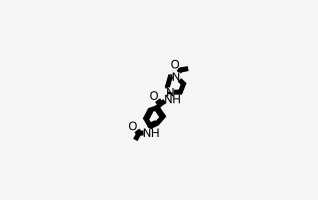 CC(=O)Nc1ccc(C(=O)NN2CCN(C(C)=O)CC2)cc1